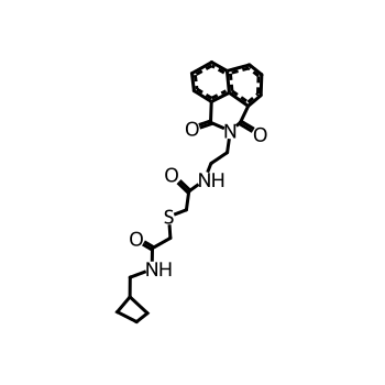 O=C(CSCC(=O)NCC1CCC1)NCCN1C(=O)c2cccc3cccc(c23)C1=O